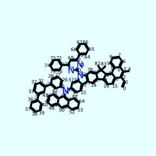 C=Cc1c(C)c2ccccc2c2c3c(ccc12)-c1cc2c4ccc(N(c5cccc(-c6cccc(-c7ccccc7)c6)c5)c5c6ccccc6cc6ccccc56)cc4n(-c4nc(-c5ccccc5)cc(-c5ccccc5)n4)c2cc1C3(C)C